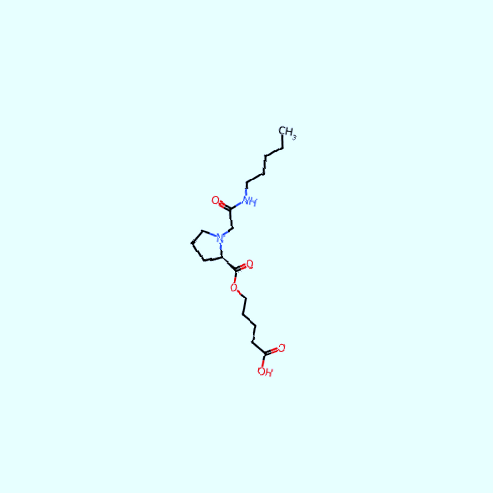 CCCCCNC(=O)CN1CCC[C@@H]1C(=O)OCCCCC(=O)O